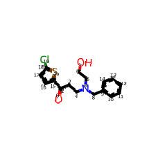 O=C(CCN(CCO)Cc1ccccc1)c1ccc(Cl)s1